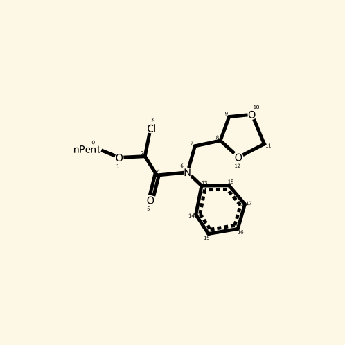 CCCCCOC(Cl)C(=O)N(CC1COCO1)c1ccccc1